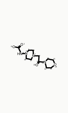 [O]C(=O)NN1CCN(CC(=O)N2CCOCC2)CC1